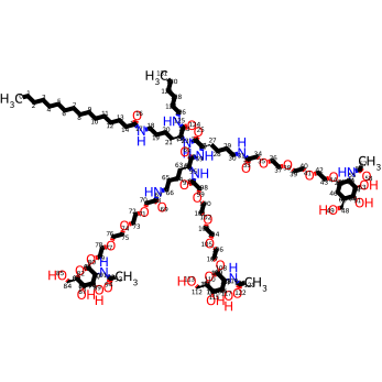 CCCCCCCCCCCCCCCC(=O)NCCCC[C@H](NC(=O)[C@H](CCCCNC(=O)COCCOCCOCCO[C@@H]1C[C@H](CO)[C@H](O)[C@H](O)[C@H]1NC(C)=O)NC(=O)[C@H](CCCCNC(=O)COCCOCCOCCO[C@@H]1O[C@H](CO)[C@H](O)[C@H](O)[C@H]1NC(C)=O)NC(=O)COCCOCCOCCO[C@@H]1O[C@H](CO)[C@H](O)[C@H](O)[C@H]1NC(C)=O)C(=O)NCCCCCC